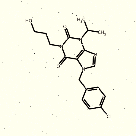 CC(C)n1c(=O)n(CCCO)c(=O)c2c1ncn2Cc1ccc(Cl)cc1